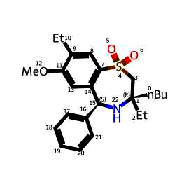 CCCC[C@]1(CC)CS(=O)(=O)c2cc(CC)c(OC)cc2[C@H](c2ccccc2)N1